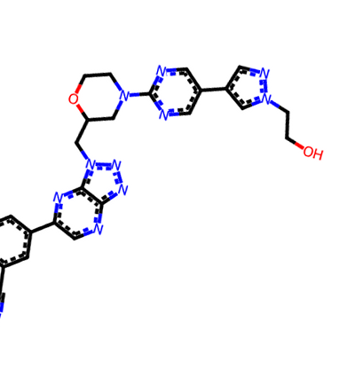 N#Cc1cccc(-c2cnc3nnn(CC4CN(c5ncc(-c6cnn(CCO)c6)cn5)CCO4)c3n2)c1